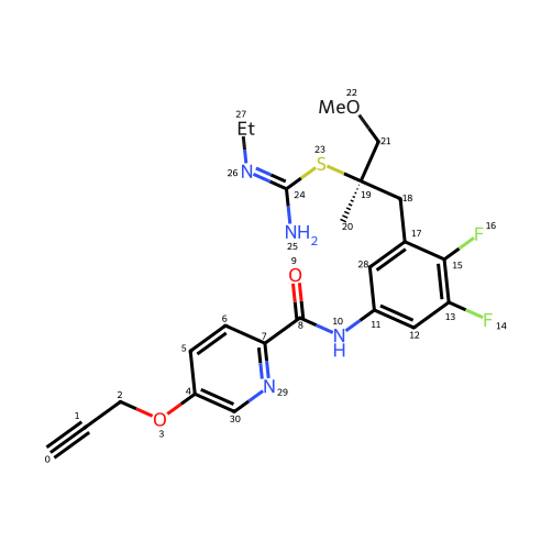 C#CCOc1ccc(C(=O)Nc2cc(F)c(F)c(C[C@](C)(COC)S/C(N)=N\CC)c2)nc1